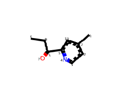 [CH2]c1ccnc(C(=O)CC)c1